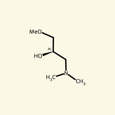 COC[C@H](O)CN(C)C